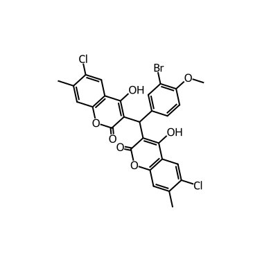 COc1ccc(C(c2c(O)c3cc(Cl)c(C)cc3oc2=O)c2c(O)c3cc(Cl)c(C)cc3oc2=O)cc1Br